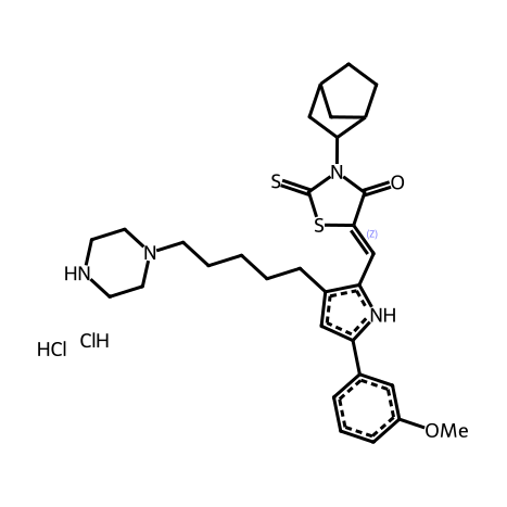 COc1cccc(-c2cc(CCCCCN3CCNCC3)c(/C=C3\SC(=S)N(C4CC5CCC4C5)C3=O)[nH]2)c1.Cl.Cl